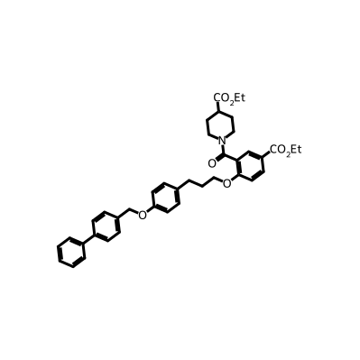 CCOC(=O)c1ccc(OCCCc2ccc(OCc3ccc(-c4ccccc4)cc3)cc2)c(C(=O)N2CCC(C(=O)OCC)CC2)c1